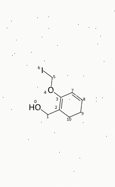 OCC1=C(OCI)C=CCC1